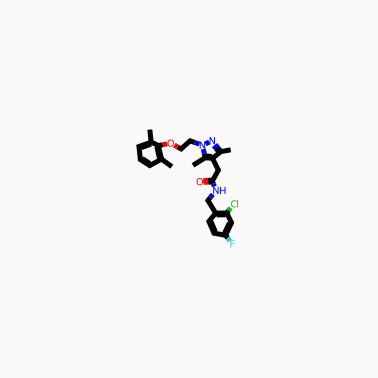 Cc1cccc(C)c1OCCn1nc(C)c(CC(=O)NCc2ccc(F)cc2Cl)c1C